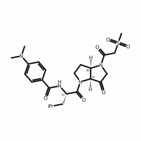 CC(C)C[C@H](NC(=O)c1ccc(N(C)C)cc1)C(=O)N1CC[C@@H]2[C@H]1C(=O)CN2C(=O)CS(C)(=O)=O